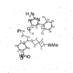 CNC1CC2(C1)CC(C(c1cccc([SH](=O)=O)c1)[C@@H](COc1cc(-c3c(C)cccc3C)nc(N)n1)CC(C)C)C2